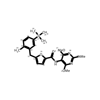 CNc1nc(OC)c(NC(=O)c2ccc(Cc3cc([Si](C)(C)C)ccc3C)o2)c(OC)n1